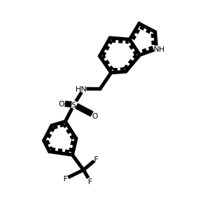 O=S(=O)(NCc1ccc2cc[nH]c2c1)c1cccc(C(F)(F)F)c1